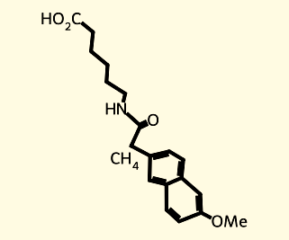 C.COc1ccc2cc(CC(=O)NCCCCCC(=O)O)ccc2c1